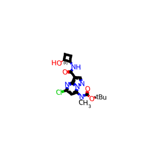 CN(C(=O)OC(C)(C)C)c1cc(Cl)nc2c(C(=O)NC3CC[C@H]3O)cnn12